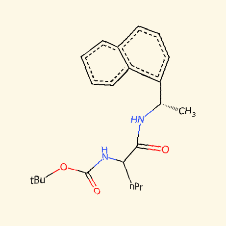 CCCC(NC(=O)OC(C)(C)C)C(=O)N[C@@H](C)c1cccc2ccccc12